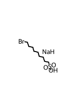 O=S(=O)(O)CCCCCCCCCBr.[NaH]